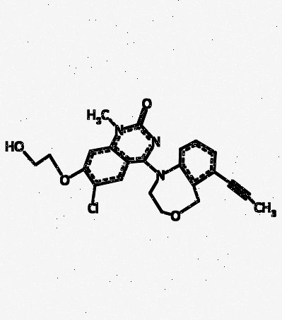 CC#Cc1cccc2c1COCCN2c1nc(=O)n(C)c2cc(OCCO)c(Cl)cc12